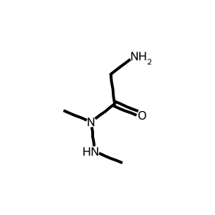 CNN(C)C(=O)CN